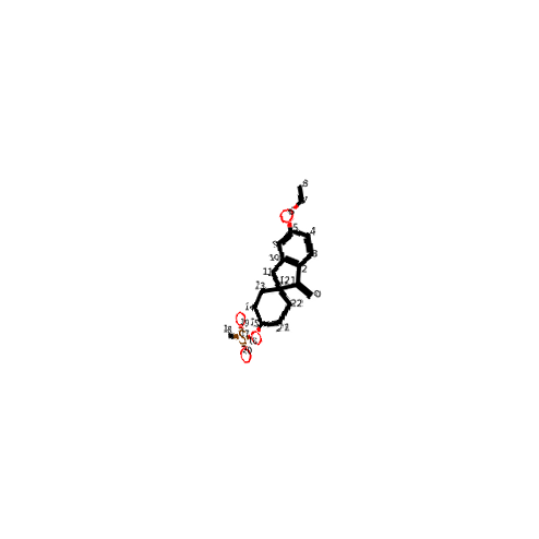 C=C1c2ccc(OCC)cc2CC12CCC(OS(C)(=O)=O)CC2